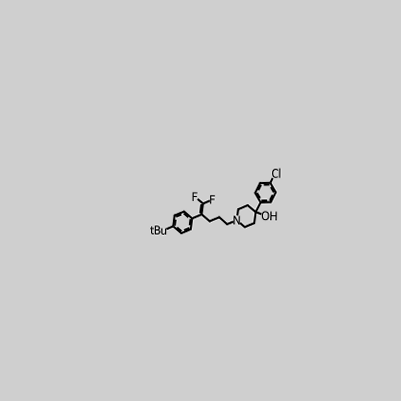 CC(C)(C)c1ccc(C(CCCN2CCC(O)(c3ccc(Cl)cc3)CC2)=C(F)F)cc1